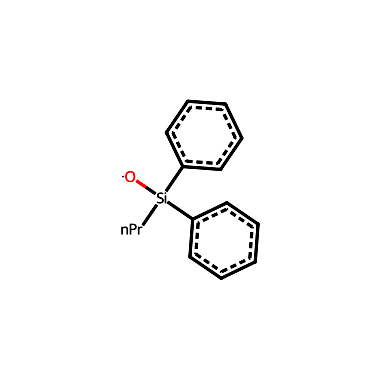 CCC[Si]([O])(c1ccccc1)c1ccccc1